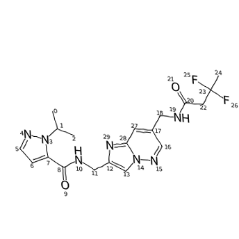 CC(C)n1nccc1C(=O)NCc1cn2ncc(CNC(=O)CC(C)(F)F)cc2n1